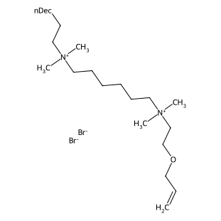 C=CCOCC[N+](C)(C)CCCCCC[N+](C)(C)CCCCCCCCCCCC.[Br-].[Br-]